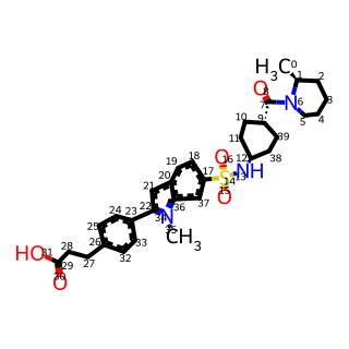 C[C@H]1CCCCN1C(=O)[C@H]1CC[C@H](NS(=O)(=O)c2ccc3cc(-c4ccc(CCC(=O)O)cc4)n(C)c3c2)CC1